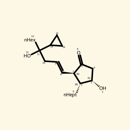 CCCCCCC[C@H]1[C@@H](O)CC(=O)[C@@H]1C=CCC(O)(CCCCCC)C1CC1